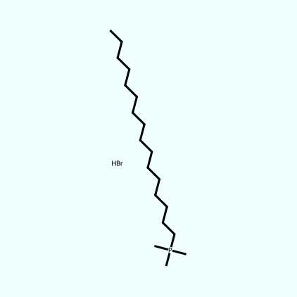 Br.CCCCCCCCCCCCCCCC[P](C)(C)C